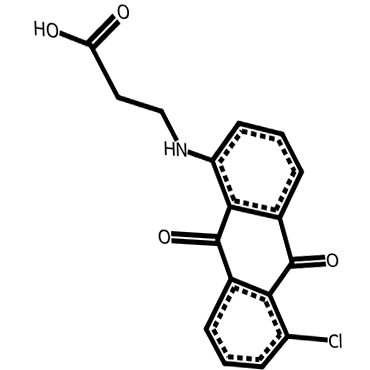 O=C(O)CCNc1cccc2c1C(=O)c1cccc(Cl)c1C2=O